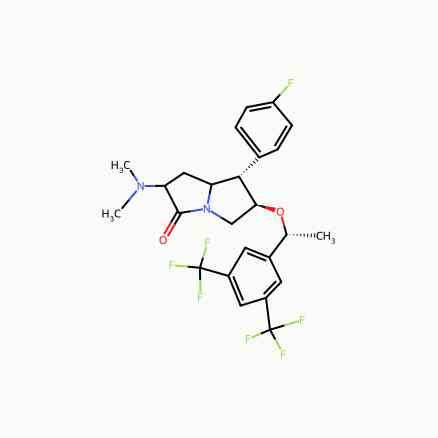 C[C@@H](O[C@H]1CN2C(=O)C(N(C)C)CC2[C@@H]1c1ccc(F)cc1)c1cc(C(F)(F)F)cc(C(F)(F)F)c1